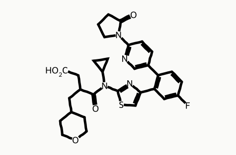 O=C(O)CC(CC1CCOCC1)C(=O)N(c1nc(-c2cc(F)ccc2-c2ccc(N3CCCC3=O)nc2)cs1)C1CC1